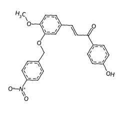 COc1ccc(/C=C/C(=O)c2ccc(O)cc2)cc1OCc1ccc([N+](=O)[O-])cc1